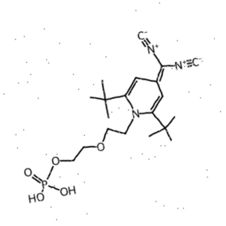 [C-]#[N+]C([N+]#[C-])=C1C=C(C(C)(C)C)N(CCOCCOP(=O)(O)O)C(C(C)(C)C)=C1